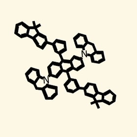 CC1(C)c2ccccc2-c2ccc(-c3cccc(-c4c5ccc(N6c7ccccc7Cc7ccccc76)cc5c(-c5cccc(-c6ccc7c(c6)C(C)(C)c6ccccc6-7)c5)c5ccc(N6c7ccccc7Cc7ccccc76)cc45)c3)cc21